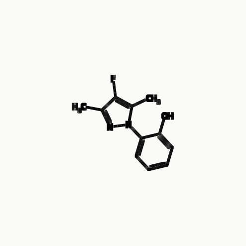 Cc1nn(-c2ccccc2O)c(C)c1F